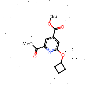 COC(=O)c1cc(C(=O)OC(C)(C)C)cc(OC2CCC2)n1